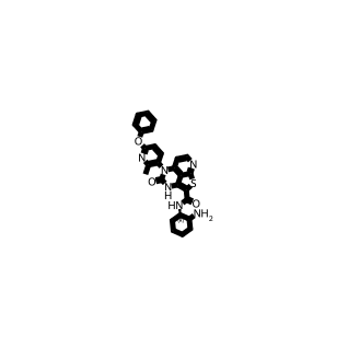 Cc1nc(Oc2ccccc2)ccc1N1C(=O)Nc2c(C(=O)N[C@@H]3CCCCC3N)sc3nccc1c23